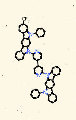 FC(F)(F)c1ccc2c3cc4c5ccccc5n(-c5cc(-c6ccnc(-n7c8ccccc8c8cc9c%10ccccc%10n(-c%10ccccc%10)c9cc87)c6)ccn5)c4cc3n(-c3ccccc3)c2c1